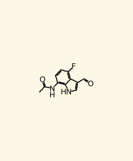 CC(=O)Nc1ccc(F)c2c(C=O)c[nH]c12